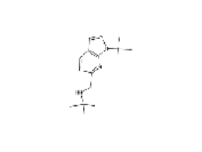 CC(C)(C)NCc1ccc2ccn(C(C)(C)C)c2n1